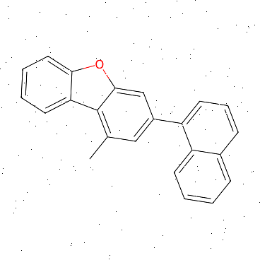 Cc1cc(-c2cccc3ccccc23)cc2oc3ccccc3c12